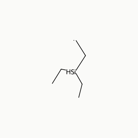 [CH2]C[SiH](CC)CC